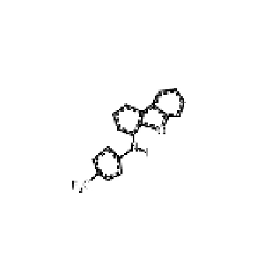 FC(F)(F)c1ccc(N(I)c2cccc3c2oc2ccccc23)cc1